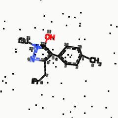 Cc1ccc(-c2c(CC(C)C)nn(C(C)(C)C)c2O)cc1